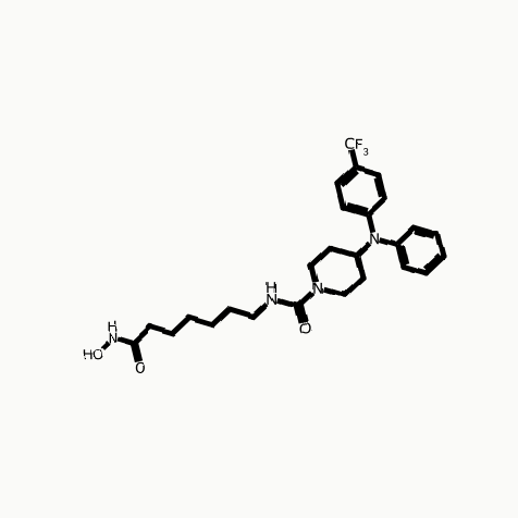 O=C(CCCCCCNC(=O)N1CCC(N(c2ccccc2)c2ccc(C(F)(F)F)cc2)CC1)NO